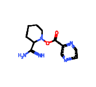 N=C(N)C1CCCCN1OC(=O)c1cnccn1